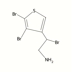 NCC(Br)c1csc(Br)c1Br